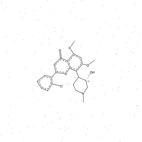 COc1cc(OC)c2c(=O)cc(-c3ccccc3Cl)oc2c1C1CCN(C)C[C@H]1O